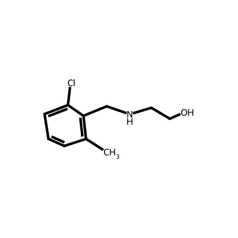 Cc1cccc(Cl)c1CNCCO